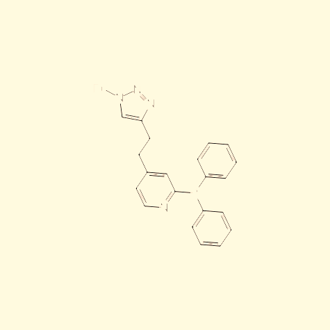 CCn1cc(CCc2ccnc(P(c3ccccc3)c3ccccc3)c2)nn1